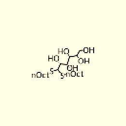 CCCCCCCCSC(SCCCCCCCC)[C@H](O)[C@@H](O)[C@H](O)[C@H](O)CO